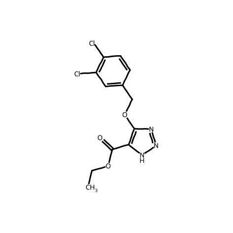 CCOC(=O)c1[nH]nnc1OCc1ccc(Cl)c(Cl)c1